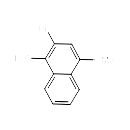 COc1cc(Br)c(C)c2ccccc12